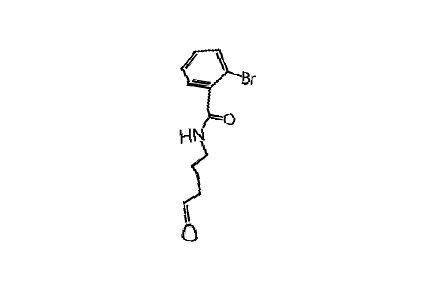 O=CCCCNC(=O)c1ccccc1Br